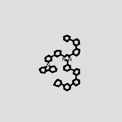 c1ccc(-c2cccc(-c3cccc(-c4cccc(-c5cccc(-c6nc(-c7cccc(-c8cccc(-c9ccccc9)c8)c7)cc(-c7cccc(-c8cccc(-n9c%10ccccc%10c%10ccccc%109)c8)c7)n6)c5)c4)c3)c2)cc1